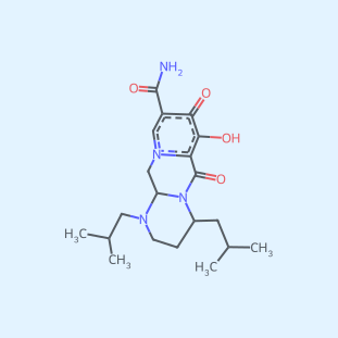 CC(C)CC1CCN(CC(C)C)C2Cn3cc(C(N)=O)c(=O)c(O)c3C(=O)N12